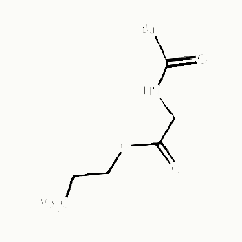 CC(C)(C)C(=O)NCC(=O)OCCC(=O)O